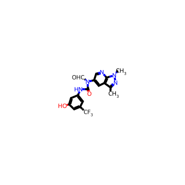 Cc1nn(C)c2ncc(N(C=O)C(=O)Nc3cc(O)cc(C(F)(F)F)c3)cc12